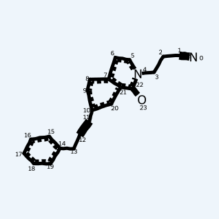 N#CCCn1ccc2ccc(C#CCc3ccccc3)cc2c1=O